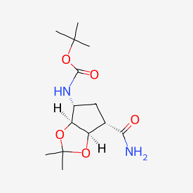 CC(C)(C)OC(=O)N[C@@H]1C[C@H](C(N)=O)[C@H]2OC(C)(C)O[C@H]21